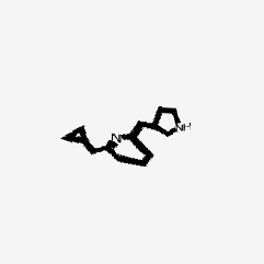 c1cc(CC2CC2)nc(CC2CCNC2)c1